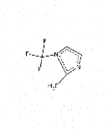 Cc1nccn1C(F)(F)F